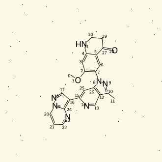 COc1cc2c(cc1-n1nc(C)c3cnc(-c4cnn5cccnc45)cc31)C(=O)CCN2